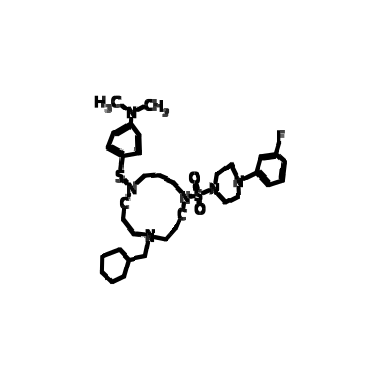 CN(C)c1ccc(SN2CCCN(CC3CCCCC3)CCCN(S(=O)(=O)N3CCN(c4cccc(F)c4)CC3)CCC2)cc1